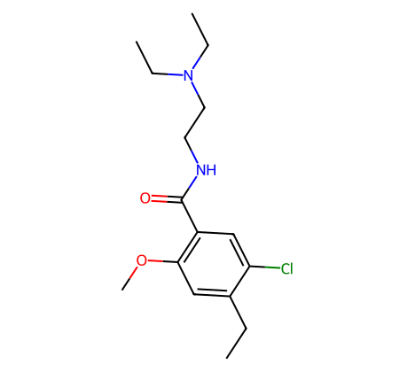 CCc1cc(OC)c(C(=O)NCCN(CC)CC)cc1Cl